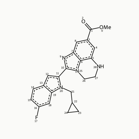 COC(=O)c1cc2c3c(c1)nc(-c1cc4ccc(F)cc4n1CC1CC1)n3CCN2